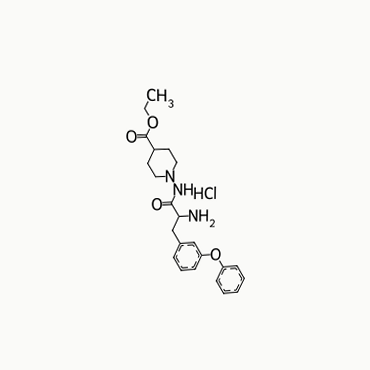 CCOC(=O)C1CCN(NC(=O)C(N)Cc2cccc(Oc3ccccc3)c2)CC1.Cl